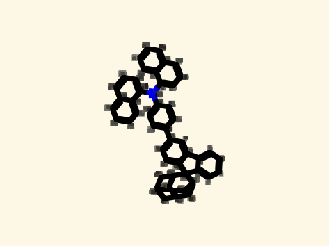 c1ccc2c(c1)-c1cc(-c3ccc(N(c4cccc5ccccc45)c4cccc5ccccc45)cc3)ccc1C21C2CC3CC(C2)CC1C3